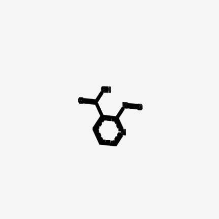 O=Nc1ncccc1C(=O)O